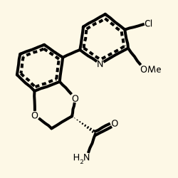 COc1nc(-c2cccc3c2O[C@H](C(N)=O)CO3)ccc1Cl